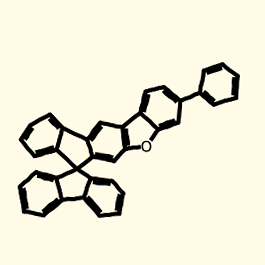 c1ccc(-c2ccc3c(c2)oc2cc4c(cc23)-c2ccccc2C42c3ccccc3-c3ccccc32)cc1